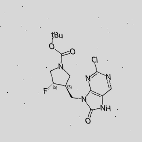 CC(C)(C)OC(=O)N1C[C@@H](Cn2c(=O)[nH]c3cnc(Cl)nc32)[C@H](F)C1